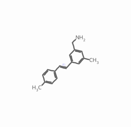 Cc1ccc(/C=C/c2cc(C)cc(CN)c2)cc1